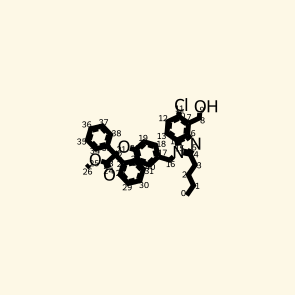 CCCCc1nc2c(CO)c(Cl)ccc2n1Cc1ccc(OC(C(=O)OC)(c2ccccc2)c2ccccc2)cc1